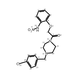 O=C(COc1ccccc1N[N+](=O)[O-])N1CCN(Cc2ccc(Cl)cc2)CC1